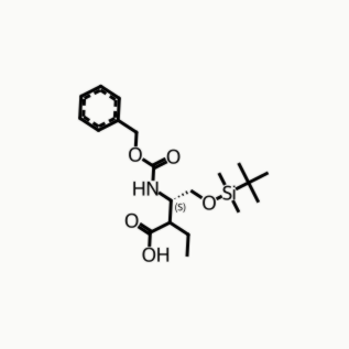 CCC(C(=O)O)[C@@H](CO[Si](C)(C)C(C)(C)C)NC(=O)OCc1ccccc1